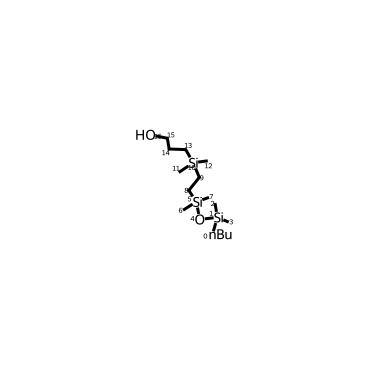 CCCC[Si](C)(C)O[Si](C)(C)CC[Si](C)(C)CCCO